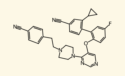 N#Cc1ccc(CCN2CCN(c3ncncc3Oc3ccc(F)cc3-c3ccc(C#N)cc3C3CC3)CC2)cc1